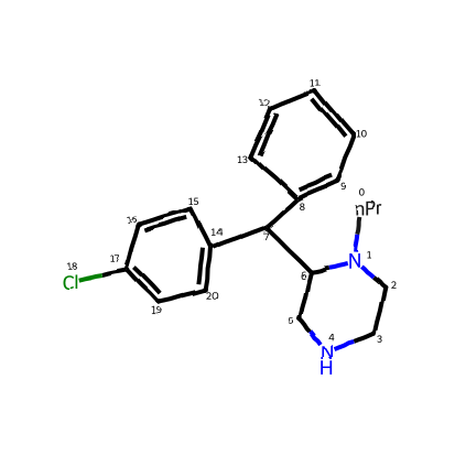 CCCN1CCNCC1C(c1ccccc1)c1ccc(Cl)cc1